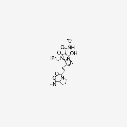 CC(C)Cn1c(=O)c(C(=O)NC2CC2)c(O)n2ncc(C=CC(=O)N3CCCC3C(=O)N(C)C)c12